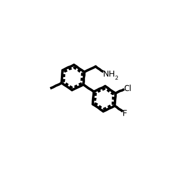 Cc1ccc(CN)c(-c2ccc(F)c(Cl)c2)c1